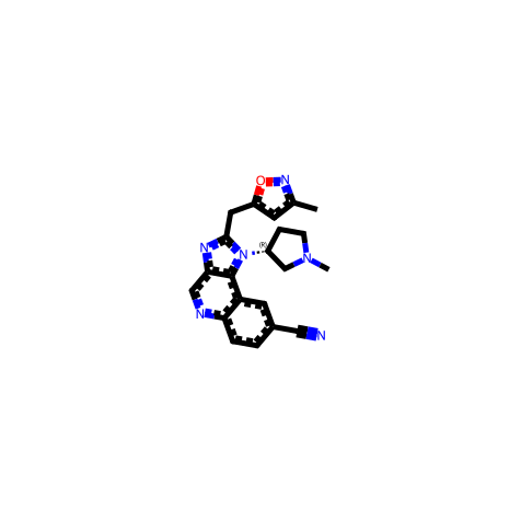 Cc1cc(Cc2nc3cnc4ccc(C#N)cc4c3n2[C@@H]2CCN(C)C2)on1